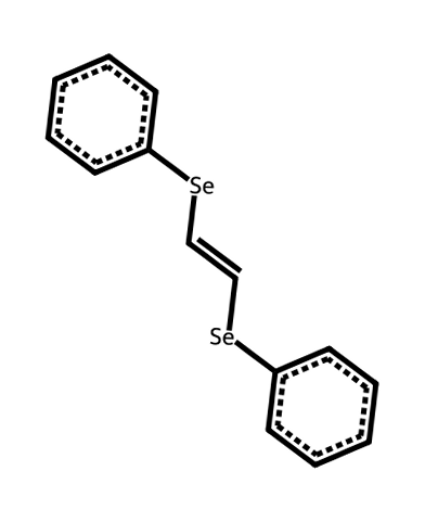 C(=C\[Se]c1ccccc1)/[Se]c1ccccc1